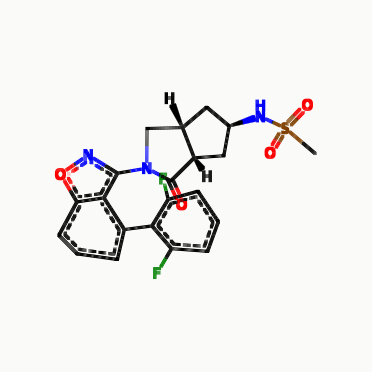 CS(=O)(=O)N[C@@H]1C[C@H]2CN(c3noc4cccc(-c5c(F)cccc5F)c34)C(=O)[C@H]2C1